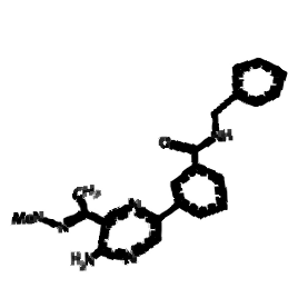 CNN=C(C)c1nc(-c2cccc(C(=O)NCc3ccccc3)c2)cnc1N